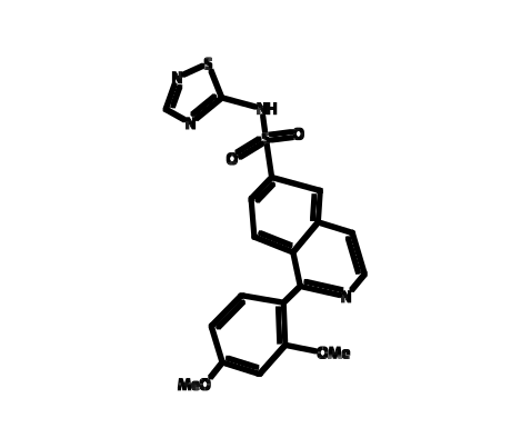 COc1ccc(-c2nccc3cc(S(=O)(=O)Nc4ncns4)ccc23)c(OC)c1